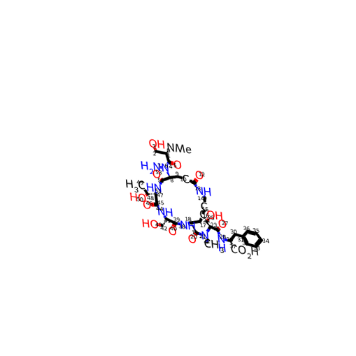 CN[C@@H](CO)C(=O)N(N)[C@H]1CCC(=O)NCCCC[C@@H](C(=O)N(C)[C@@H](CO)C(=O)N[C@@H](Cc2ccccc2)C(=O)O)NC(=O)[C@H](CO)NC(=O)[C@H](C(C)O)NC1=O